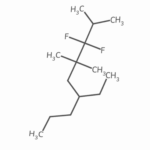 CCCC(CC)CC(C)(C)C(F)(F)C(C)C